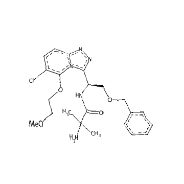 COCCOc1c(Cl)ccc2nnc([C@@H](COCc3ccccc3)NC(=O)C(C)(C)N)n12